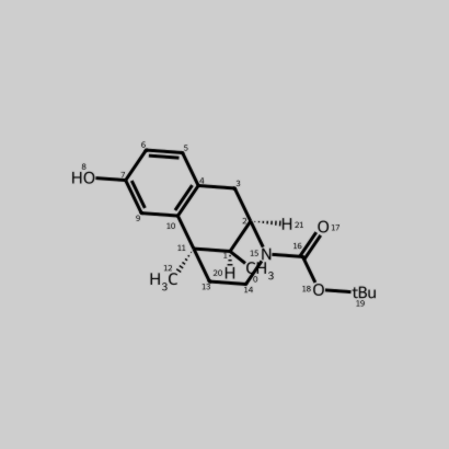 C[C@@H]1[C@H]2Cc3ccc(O)cc3[C@]1(C)CCN2C(=O)OC(C)(C)C